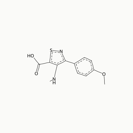 CNc1c(-c2ccc(OC)cc2)nsc1C(=O)O